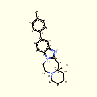 Cc1ccc(-c2ccc3c(c2)nc2n3CCN3CCCC[C@H]3C2)cc1